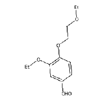 CCOCCOc1ccc(C=O)cc1OCC